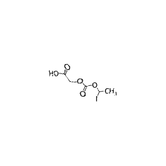 CC(I)OC(=O)OCC(=O)O